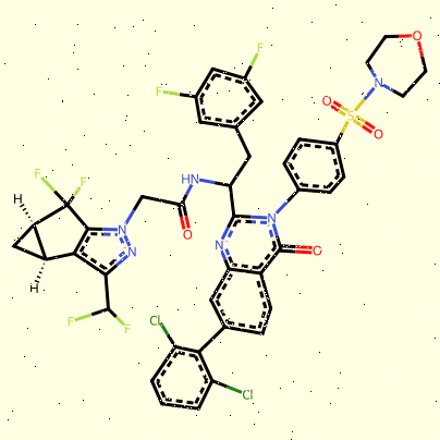 O=C(Cn1nc(C(F)F)c2c1C(F)(F)[C@@H]1C[C@H]21)NC(Cc1cc(F)cc(F)c1)c1nc2cc(-c3c(Cl)cccc3Cl)ccc2c(=O)n1-c1ccc(S(=O)(=O)N2CCOCC2)cc1